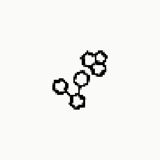 C1=Cc2cccc3cccc1c23.c1ccc(-c2ccccc2C2CCCCC2)cc1